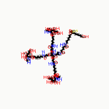 CC(=O)NC1C(OCCCCCCNC(=O)CCOCC(COCCC(=O)NCCCCCCOC2OC(CO)C(O)C(O)C2NC(C)=O)(COCCC(=O)NCCCCCCOC2OC(CO)C(O)C(O)C2NC(C)=O)NC(=O)C2CN(C(=O)CCCC(=O)NCCCCCCCOP(=O)(S)CCCCC/C=C/O)C2)OC(CO)C(O)C1O